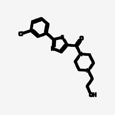 O=C(c1cnc(-c2cccc(Cl)c2)s1)N1CCN(CCO)CC1